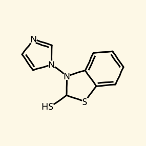 SC1Sc2ccccc2N1n1ccnc1